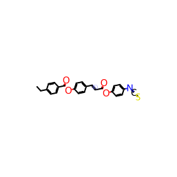 CCc1ccc(C(=O)Oc2ccc(/C=C/C(=O)Oc3ccc(N=C=S)cc3)cc2)cc1